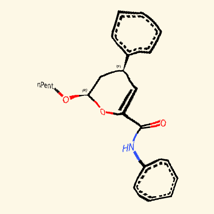 CCCCCO[C@H]1C[C@@H](c2ccccc2)C=C(C(=O)Nc2ccccc2)O1